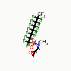 CN(CC1CO1)S(=O)(=O)C(F)(F)C(F)(F)C(F)(F)C(F)(F)C(F)(F)C(F)(F)C(F)(F)C(F)(F)F